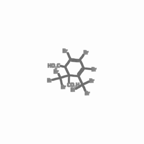 O=C(O)C1C(Br)=C(Br)C(Br)=C(C(Br)(Br)Br)C1(C(=O)O)C(Br)(Br)Br